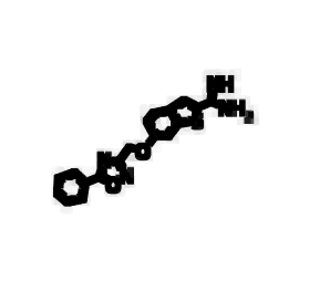 N=C(N)c1cc2ccc(OCc3noc(-c4ccccc4)n3)cc2s1